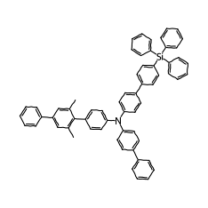 Cc1cc(-c2ccccc2)cc(C)c1-c1ccc(N(c2ccc(-c3ccccc3)cc2)c2ccc(-c3ccc([Si](c4ccccc4)(c4ccccc4)c4ccccc4)cc3)cc2)cc1